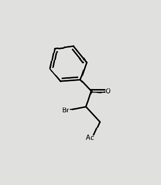 CC(=O)CC(Br)C(=O)c1ccccc1